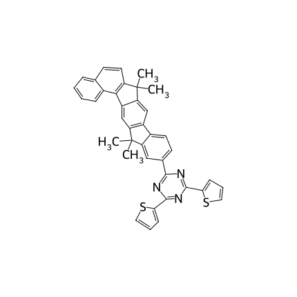 CC1(C)c2cc(-c3nc(-c4cccs4)nc(-c4cccs4)n3)ccc2-c2cc3c(cc21)-c1c(ccc2ccccc12)C3(C)C